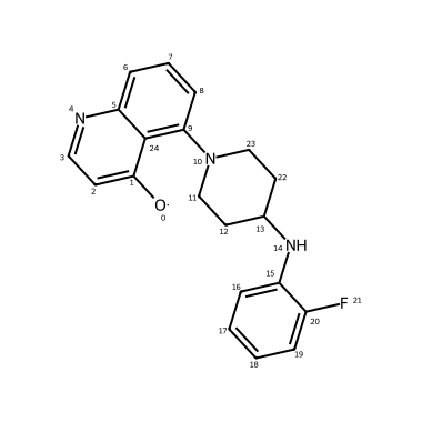 [O]c1ccnc2cccc(N3CCC(Nc4ccccc4F)CC3)c12